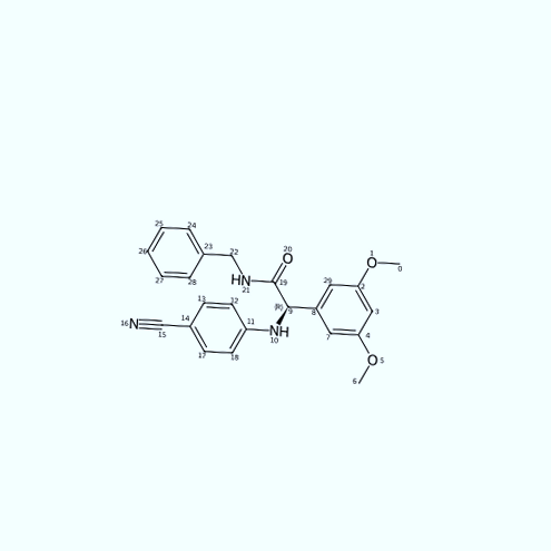 COc1cc(OC)cc([C@@H](Nc2ccc(C#N)cc2)C(=O)NCc2ccccc2)c1